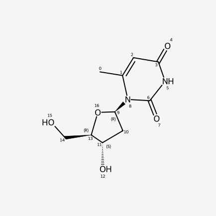 Cc1cc(=O)[nH]c(=O)n1[C@H]1C[C@H](O)[C@@H](CO)O1